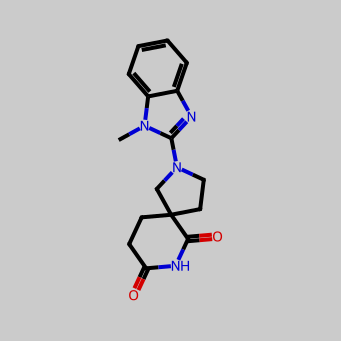 Cn1c(N2CCC3(CCC(=O)NC3=O)C2)nc2ccccc21